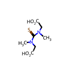 CN(CC(=O)O)C(=S)N(C)CC(=O)O